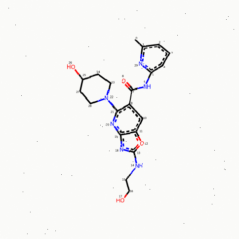 Cc1cccc(NC(=O)c2cc3oc(NCCO)nc3nc2N2CCC(O)CC2)n1